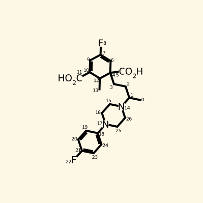 CC(CCC1(C(=O)O)C=C(F)C=C(C(=O)O)C1C)N1CCN(c2ccc(F)cc2)CC1